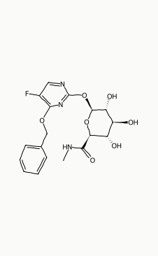 CNC(=O)[C@H]1O[C@@H](Oc2ncc(F)c(OCc3ccccc3)n2)[C@H](O)[C@@H](O)[C@@H]1O